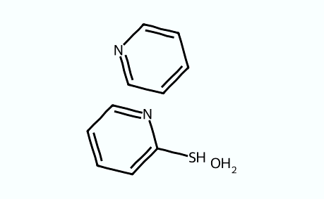 O.Sc1ccccn1.c1ccncc1